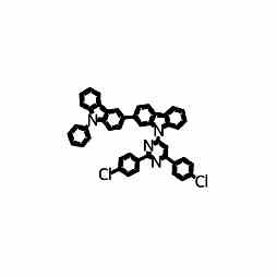 Clc1ccc(-c2cc(-n3c4ccccc4c4ccc(-c5ccc6c(c5)c5ccccc5n6-c5ccccc5)cc43)nc(-c3ccc(Cl)cc3)n2)cc1